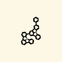 c1ccc(-c2ccc3c(c2)c2cc(-c4cccc5c6cccc7c8ccccc8n(c45)c76)cc4c5ccccc5n3c42)cc1